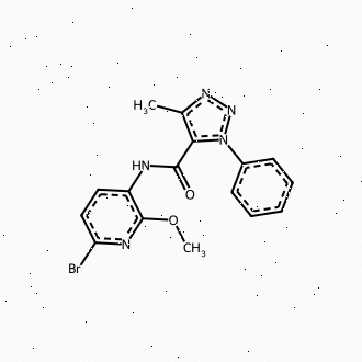 COc1nc(Br)ccc1NC(=O)c1c(C)nnn1-c1ccccc1